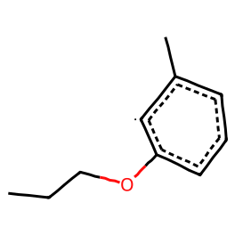 CCCOc1[c]c(C)ccc1